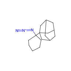 [N-]=[N+]=NC1(C23CC4CC(CC(C4)C2)C3)CCCCC1